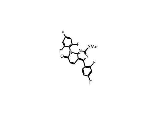 CSc1nc(-c2ccc(F)cc2F)c2ccc(=O)n(-c3c(F)cc(F)cc3F)c2n1